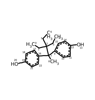 CCC(CC)(CC)C(C)(c1ccc(O)cc1)c1ccc(O)cc1